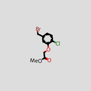 COC(=O)COc1cc(CBr)ccc1Cl